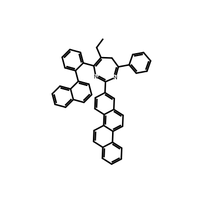 CCC1=C(c2ccccc2-c2cccc3ccccc23)N=C(c2ccc3c(ccc4c5ccccc5ccc34)c2)N=C(c2ccccc2)C1